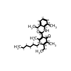 CCCCCCn1c(C)c(C(=O)Nc2c(C)cccc2CC)c(=O)c(C)c1CC